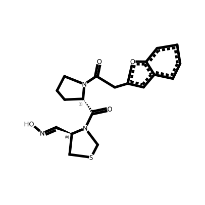 O=C([C@@H]1CCCN1C(=O)Cc1cc2ccccc2o1)N1CSC[C@H]1C=NO